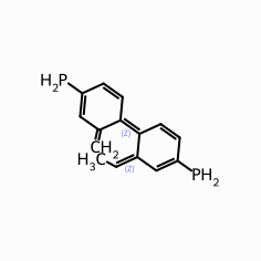 C=c1cc(P)cc/c1=c1\ccc(P)c\c1=C\C